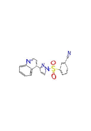 N#Cc1cccc(S(=O)(=O)n2ccc(-c3ccnc4ccccc34)n2)c1